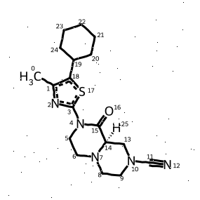 Cc1nc(N2CCN3CCN(C#N)C[C@@H]3C2=O)sc1C1CCCCC1